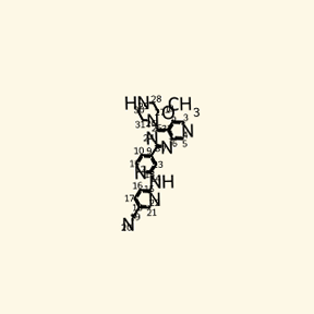 COc1cncc2nc(-c3ccnc(Nc4ccc(C#N)cn4)c3)nc(N3CCNCC3)c12